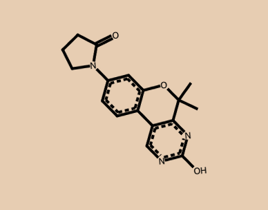 CC1(C)Oc2cc(N3CCCC3=O)ccc2-c2cnc(O)nc21